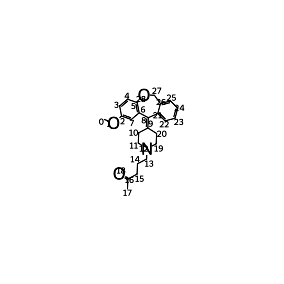 COc1ccc2c(c1)C(=C1CCN(CCCC(C)=O)CC1)c1ccccc1CO2